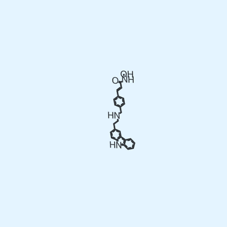 O=C(/C=C/c1ccc(CNCCc2ccc3[nH]c4ccccc4c3c2)cc1)NO